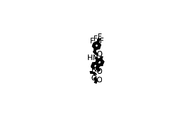 CC(=O)OCC(C)n1ccc2c(NC(=O)Cc3ccc(C(F)(F)F)c(F)c3)c(C)ccc2c1=O